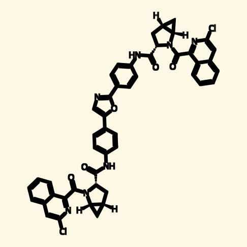 O=C(Nc1ccc(-c2cnc(-c3ccc(NC(=O)[C@@H]4C[C@@H]5C[C@@H]5N4C(=O)c4nc(Cl)cc5ccccc45)cc3)o2)cc1)[C@@H]1C[C@@H]2C[C@@H]2N1C(=O)c1nc(Cl)cc2ccccc12